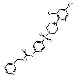 O=C(NCc1cccnc1)Nc1ccc(S(=O)(=O)N2CCN(c3ncc(C(F)(F)F)cc3Cl)CC2)cc1